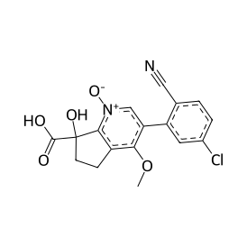 COc1c(-c2cc(Cl)ccc2C#N)c[n+]([O-])c2c1CCC2(O)C(=O)O